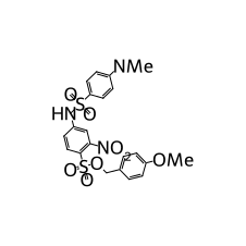 CNc1ccc(S(=O)(=O)Nc2ccc(S(=O)(=O)OCc3ccc(OC)cc3)c([N+](=O)[O-])c2)cc1